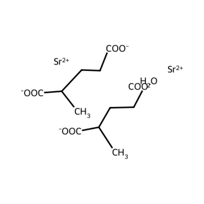 CC(CCC(=O)[O-])C(=O)[O-].CC(CCC(=O)[O-])C(=O)[O-].O.[Sr+2].[Sr+2]